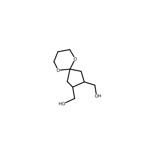 OCC1CC2(CC1CO)OCCCO2